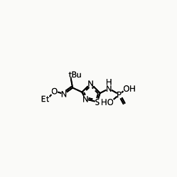 C=P(O)(O)Nc1nc(C(=NOCC)C(C)(C)C)ns1